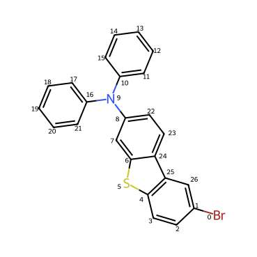 Brc1ccc2sc3cc(N(c4ccccc4)c4ccccc4)ccc3c2c1